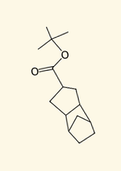 CC(C)(C)OC(=O)C1CC2C3CCC(C3)C2C1